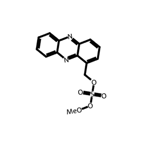 COOS(=O)(=O)OCc1cccc2nc3ccccc3nc12